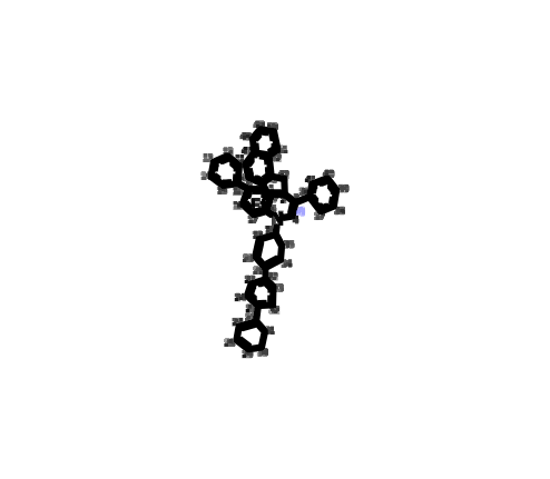 CCC1=C(/C(=C\N(c2ccc(-c3ccccc3)cc2)C2C=CC(c3ccc(C4=CC=CCC4)cc3)=CC2)c2ccccc2)Cc2c1ccc1ccccc21